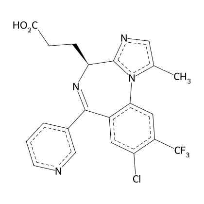 Cc1cnc2n1-c1cc(C(F)(F)F)c(Cl)cc1C(c1cccnc1)=N[C@H]2CCC(=O)O